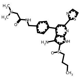 CCCC[S+]([O-])c1[nH]c2nc(-c3nccs3)cc(-c3ccc(CNC(=O)CN(C)C)cc3)c2c1N